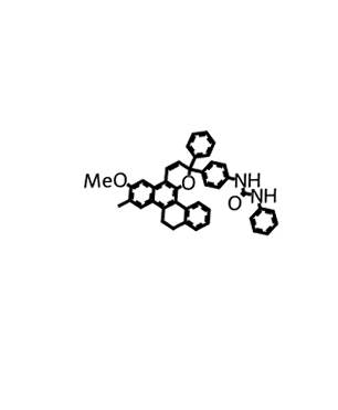 COc1cc2c3c(c4c(c2cc1C)CCc1ccccc1-4)OC(c1ccccc1)(c1ccc(NC(=O)Nc2ccccc2)cc1)C=C3